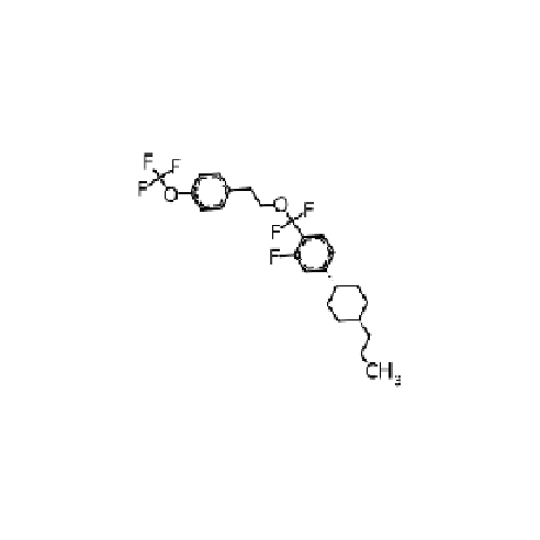 CCC[C@H]1CC[C@H](c2ccc(C(F)(F)OCCc3ccc(OC(F)(F)F)cc3)c(F)c2)CC1